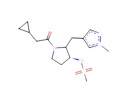 Cn1cc(CC2[C@@H](NS(C)(=O)=O)CCN2C(=O)CC2CC2)cn1